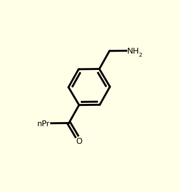 CCCC(=O)c1ccc(CN)cc1